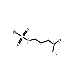 CCS(=O)(=O)NCCCN(C)C